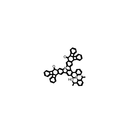 CC(C)c1cccc(C(C)C)c1N1c2ccccc2-c2c(cc3c4cc5c(cc4n4c6cc7c(cc6c2c34)C2c3ccccc3C23c2ccccc2C3C7=O)C(=O)C2c3ccccc3C23c2ccccc2C53)C1O